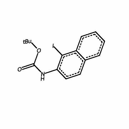 CC(C)(C)OC(=O)Nc1ccc2ccccc2c1I